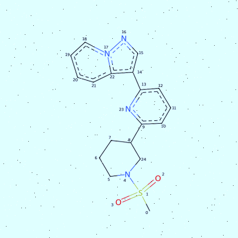 CS(=O)(=O)N1CCCC(c2cccc(-c3cnn4ccccc34)n2)C1